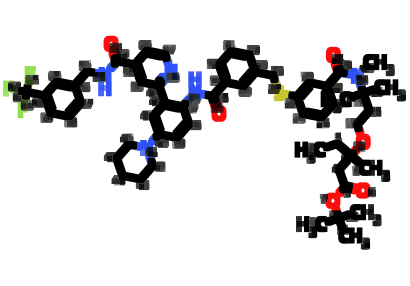 CCC(C)(CC(=O)OC(C)(C)C)OCCC(C)(C)N(C)C(=O)c1cccc(SCc2cccc(C(=O)Nc3ccc(N4CCCCC4)cc3-c3cc(C(=O)NCc4cccc(C(F)(F)F)c4)ccn3)c2)c1